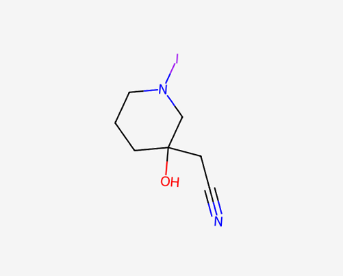 N#CCC1(O)CCCN(I)C1